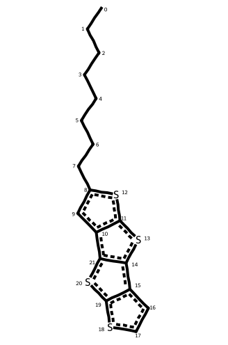 CCCCCCCCc1cc2c(s1)sc1c3ccsc3sc21